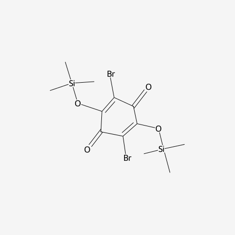 C[Si](C)(C)OC1=C(Br)C(=O)C(O[Si](C)(C)C)=C(Br)C1=O